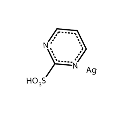 O=S(=O)(O)c1ncccn1.[Ag]